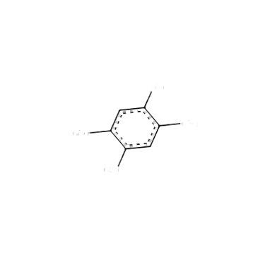 CCCCc1cc(CCCC)c(CCCC)cc1CCCC